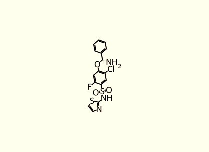 N[C@H](Oc1cc(F)c(S(=O)(=O)Nc2nccs2)cc1Cl)c1ccccc1